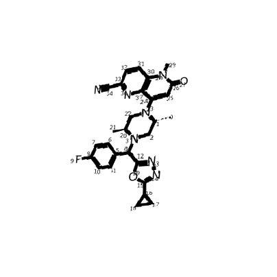 C[C@@H]1CN(C(c2ccc(F)cc2)c2nnc(C3CC3)o2)[C@@H](C)CN1c1cc(=O)n(C)c2ccc(C#N)nc12